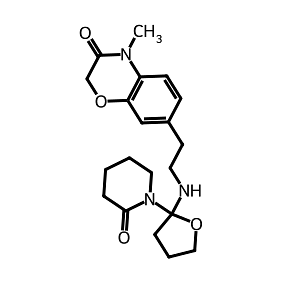 CN1C(=O)COc2cc(CCNC3(N4CCCCC4=O)CCCO3)ccc21